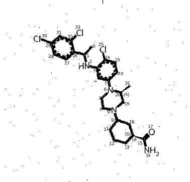 CC(Nc1cc(N2CCN(C3CCC[C@H](C(N)=O)C3)C[C@@H]2C)ccc1Cl)c1ccc(Cl)cc1Cl